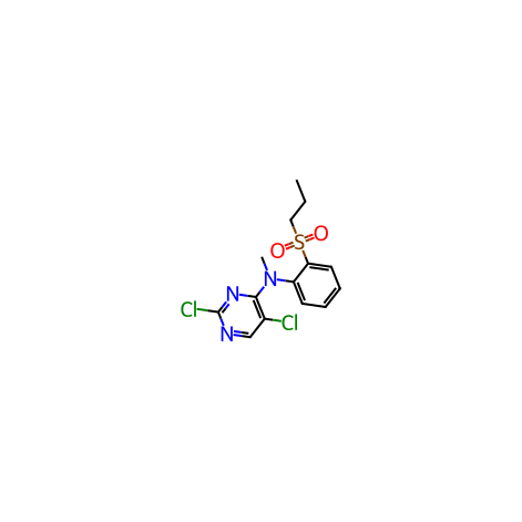 CCCS(=O)(=O)c1ccccc1N(C)c1nc(Cl)ncc1Cl